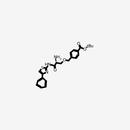 CC(C)(C)OC(=O)c1ccc(COC[C@H](N)C(=O)Nc2nc(-c3ccccc3)cs2)cc1